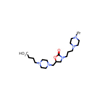 CC(C)N1CCN(CCCN2CC(CN3CCN(CCCC(=O)O)CC3)OC2=O)CC1